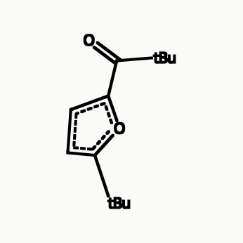 CC(C)(C)C(=O)c1ccc(C(C)(C)C)o1